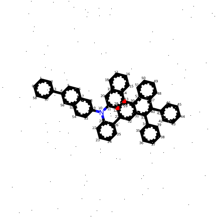 c1ccc(-c2ccc3cc(N(c4ccc5ccccc5c4)c4ccccc4-c4ccc5c(c4)c(-c4ccccc4)c(-c4ccccc4)c4ccccc45)ccc3c2)cc1